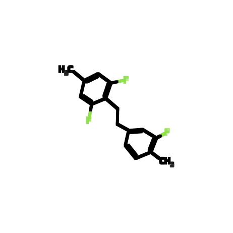 Cc1cc(F)c(CCc2ccc(C)c(F)c2)c(F)c1